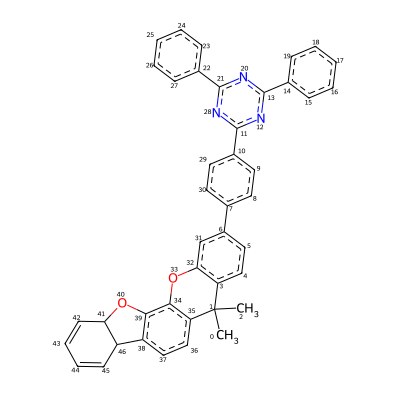 CC1(C)c2ccc(-c3ccc(-c4nc(-c5ccccc5)nc(-c5ccccc5)n4)cc3)cc2Oc2c1ccc1c2OC2C=CC=CC12